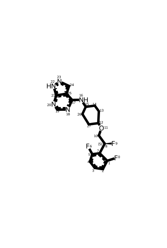 Fc1cccc(F)c1[C@H](F)COC1CCC(Nc2ncnc3[nH]ncc23)CC1